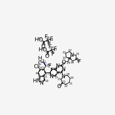 C/C=C\c1c(Cl)cc2[nH]ncc2c1-c1ncc2c(N3CCCCC(=O)C3)nc(OC[C@@]34CCCN3C[C@H](F)C4)nc2c1F.O=C(O)C(F)(F)F.O=C(O)C(F)(F)F